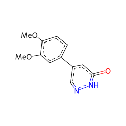 COc1ccc(-c2cn[nH]c(=O)c2)cc1OC